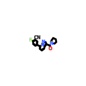 N#Cc1cc(-c2cccc3c(C(=O)N4CCCCC4)cnn23)ccc1F